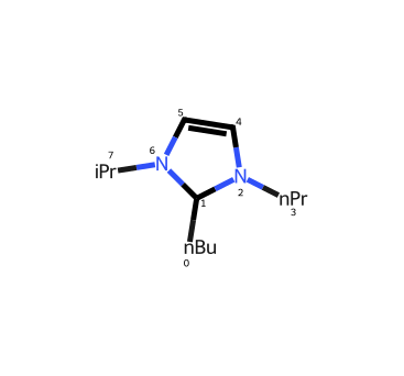 CCCCC1N(CCC)C=CN1C(C)C